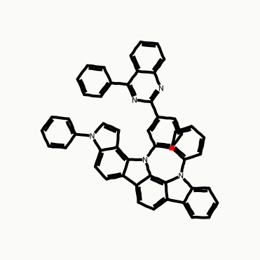 c1ccc(-c2nc(-c3cccc(-n4c5c(ccc6c5ccn6-c5ccccc5)c5ccc6c7ccccc7n(-c7ccccc7)c6c54)c3)nc3ccccc23)cc1